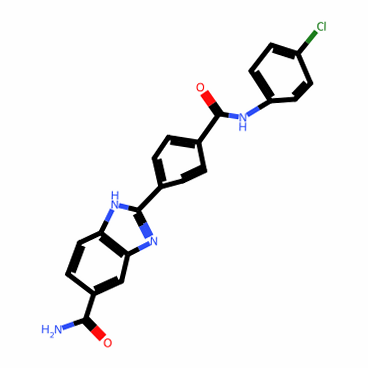 NC(=O)c1ccc2[nH]c(-c3ccc(C(=O)Nc4ccc(Cl)cc4)cc3)nc2c1